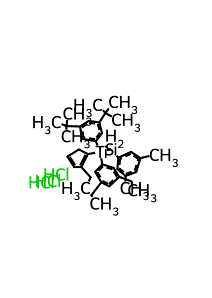 CCC1=[C]([Ti]([SiH2]c2cc(C)cc(C)c2)([c]2cc(CC)cc(CC)c2)[c]2cc(C(C)(C)C)cc(C(C)(C)C)c2)CC=C1.Cl.Cl.Cl